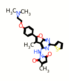 CC1=CC(=O)N(Nc2nc(-c3cccs3)nc3oc(-c4ccc(OCCN(C)C)cc4)c(C)c23)C1=O